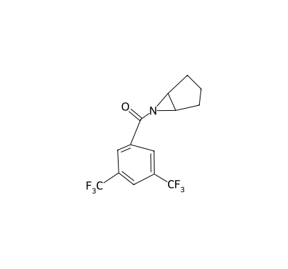 O=C(c1cc(C(F)(F)F)cc(C(F)(F)F)c1)N1C2CCCC21